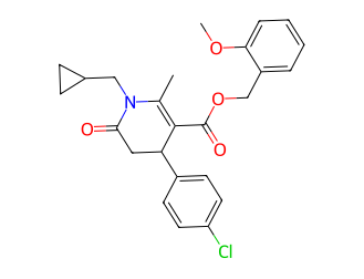 COc1ccccc1COC(=O)C1=C(C)N(CC2CC2)C(=O)CC1c1ccc(Cl)cc1